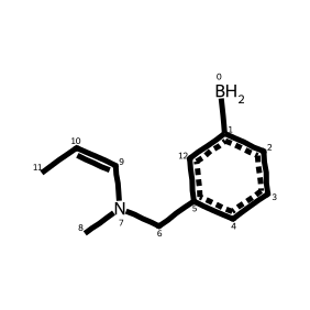 Bc1cccc(CN(C)/C=C\C)c1